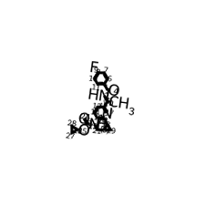 C[C@H](NC(=O)c1ccc(F)cc1)c1ccc2c(n1)C1C[C@@H]1CN2C(=O)OC1CC1